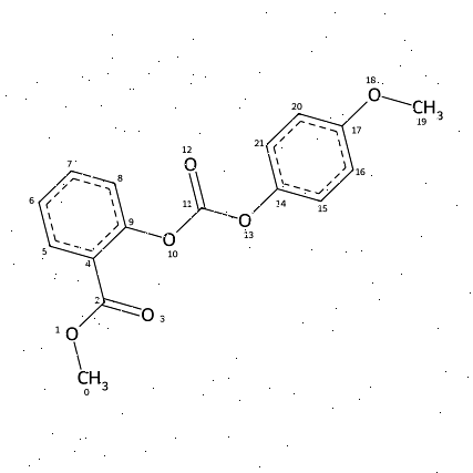 COC(=O)c1ccccc1OC(=O)Oc1ccc(OC)cc1